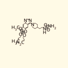 C=CCOP(=O)(OCC=C)Oc1cc2c(N3CCC(CCNS(N)(=O)=O)CC3)ncnc2cc1OC